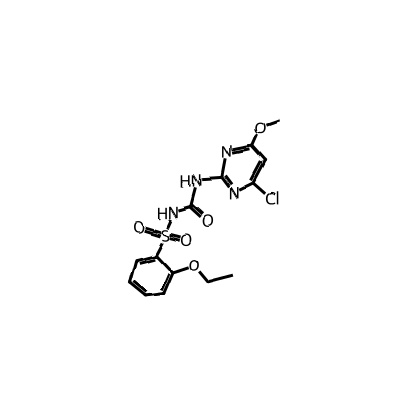 CCOc1ccccc1S(=O)(=O)NC(=O)Nc1nc(Cl)cc(OC)n1